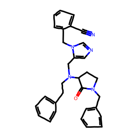 N#Cc1ccccc1Cn1cncc1CN(CCc1ccccc1)C1CCN(Cc2ccccc2)C1=O